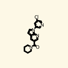 O=C(c1cnc2c(ccn2-c2cncc(Cl)c2)c1)N1CCCCC1